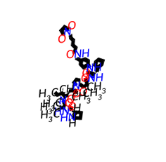 CC[C@H](C)[C@@H]([C@@H](CC(=O)N1CCC[C@H]1[C@H](OC)[C@@H](C)C(=O)N[C@@H](Cc1ccccc1)C(=O)Nc1ccc(CNC(=O)CCCCCN2C(=O)C=CC2=O)cc1)OC)N(C)C(=O)[C@@H](NC(=O)[C@H]1N[C@@H]2CC[C@H]1C2)C(C)C